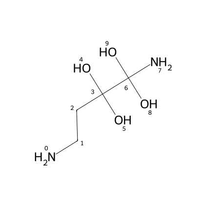 NCCC(O)(O)C(N)(O)O